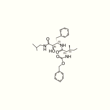 CC[C@H](C)[C@H](NC(=O)OCc1ccccc1)C(=O)N[C@@H](Cc1ccccc1)[C@@H](O)C(=O)NCC(C)C